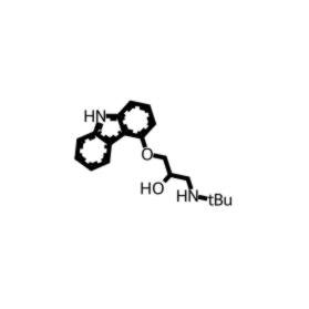 CC(C)(C)NCC(O)COc1cccc2[nH]c3ccccc3c12